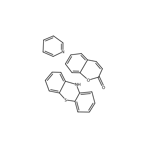 O=c1ccc2ccccc2o1.c1ccc2c(c1)Nc1ccccc1S2.c1ccncc1